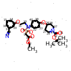 CCOC(=O)CS(=O)(=O)N(CCOc1cccc(C#N)c1)c1ccc(OC2CCN(C(=O)OC(C)(C)C)CC2)cc1